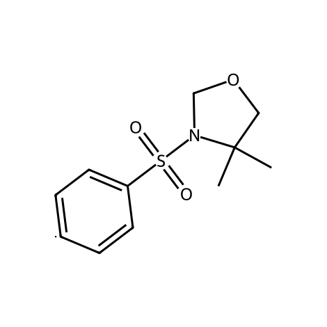 CC1(C)COCN1S(=O)(=O)c1cc[c]cc1